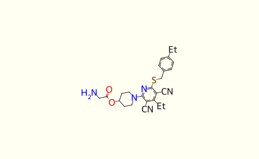 CCc1ccc(CSc2nc(N3CCC(OC(=O)CN)CC3)c(C#N)c(CC)c2C#N)cc1